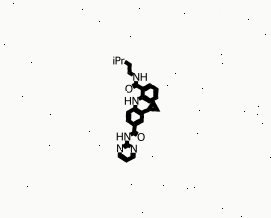 CC(C)CCNC(=O)c1ccccc1Nc1ccc(C(=O)Nc2ncccn2)cc1C1CC1